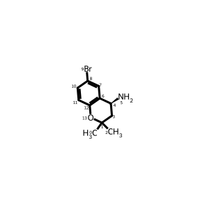 CC1(C)C[C@H](N)c2cc(Br)ccc2O1